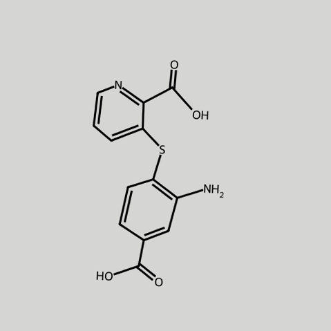 Nc1cc(C(=O)O)ccc1Sc1cccnc1C(=O)O